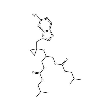 CC(C)COC(=O)OC[C](COC(=O)OCC(C)C)OC1(Cn2cnc3cnc(N)nc32)CC1